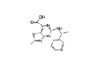 Cc1nc2nc(NC(C)c3cccnc3)nc(C(=O)O)c2s1